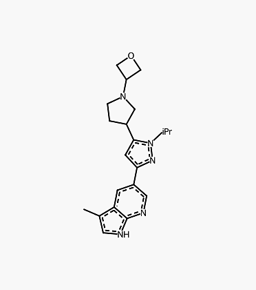 Cc1c[nH]c2ncc(-c3cc(C4CCN(C5COC5)C4)n(C(C)C)n3)cc12